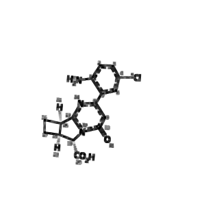 Nc1ccc(Cl)cc1-c1cc(=O)n2c(n1)[C@@H]1CC[C@@H]1[C@H]2C(=O)O